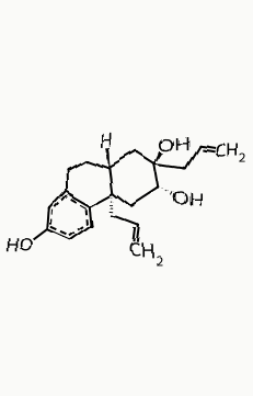 C=CC[C@@]1(O)C[C@H]2CCc3cc(O)ccc3[C@]2(CC=C)C[C@H]1O